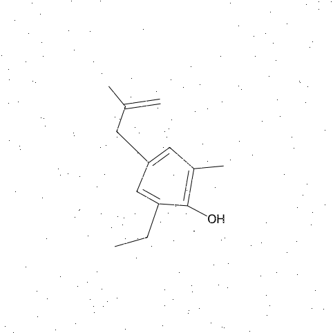 C=C(C)Cc1cc(C)c(O)c(CC)c1